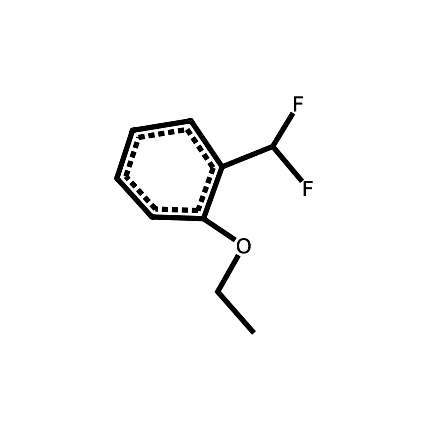 CCOc1ccccc1C(F)F